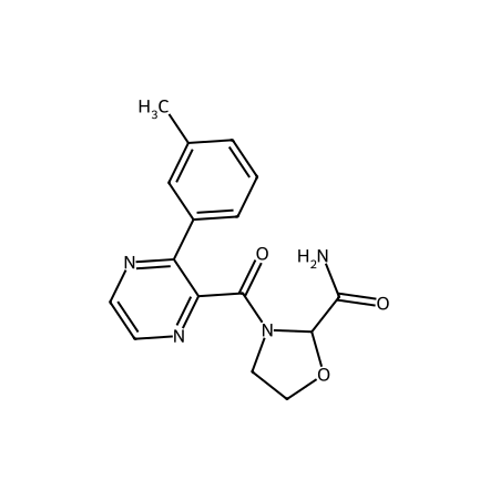 Cc1cccc(-c2nccnc2C(=O)N2CCOC2C(N)=O)c1